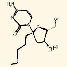 CCCCC[C@]1(n2ccc(N)nc2=O)C[C@H](O)[C@@H](CO)O1